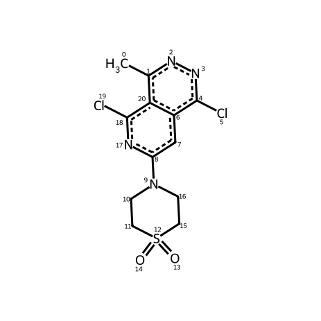 Cc1nnc(Cl)c2cc(N3CCS(=O)(=O)CC3)nc(Cl)c12